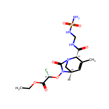 CCOC(=O)[C@H](F)ON1C(=O)N2C[C@H]1C=C(C)[C@H]2C(=O)NCNS(N)(=O)=O